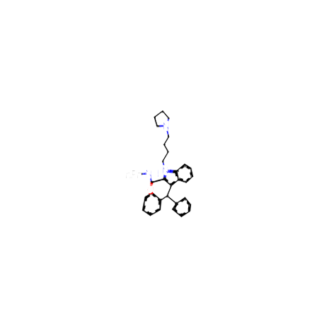 CCCNC(=O)c1c(C(c2ccccc2)c2ccccc2)c2ccccc2n1CCCCN1CCCC1